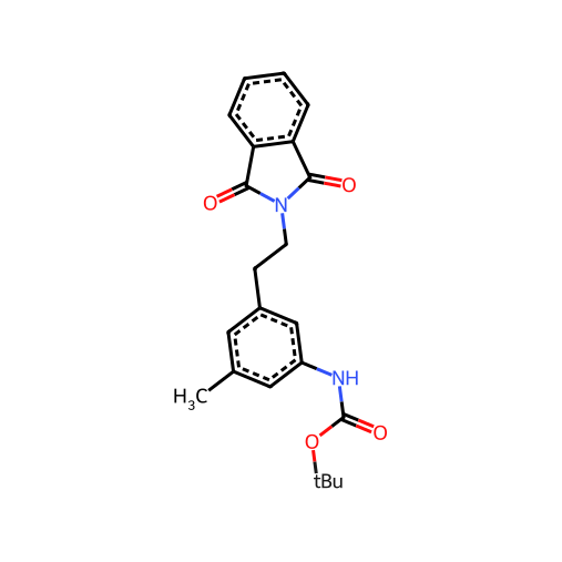 Cc1cc(CCN2C(=O)c3ccccc3C2=O)cc(NC(=O)OC(C)(C)C)c1